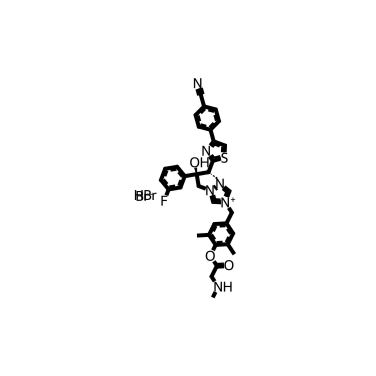 Br.CNCC(=O)Oc1c(C)cc(C[n+]2cnn(C[C@](O)(c3cccc(F)c3)[C@@H](C)c3nc(-c4ccc(C#N)cc4)cs3)c2)cc1C.[Br-]